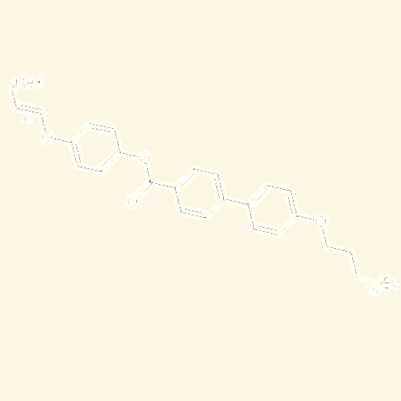 CCCCCC/C=C/Oc1ccc(OC(=O)c2ccc(-c3ccc(OCCC[C@@H](C)CC)cc3)cc2)cc1